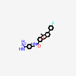 CC12OC(c3cc(C(=O)NCc4ccc(C(=N)N)cc4)ccc31)C1C=CC(c3ccc(F)cc3)=CC12